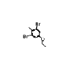 CCOc1cc(Br)c(C)c(Br)c1